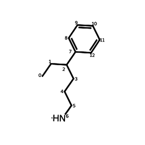 CCC(CCC[NH])c1ccccc1